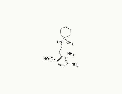 CC1(NCCc2c(C(=O)O)ccc(N)c2N)CCCCC1